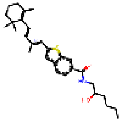 CCCCC(O)CNC(=O)c1ccc2cc(/C=C(\C)C=CC3=C(C)CCCC3(C)C)sc2c1